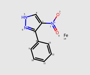 O=[N+]([O-])c1c[nH]nc1-c1ccccc1.[Fe]